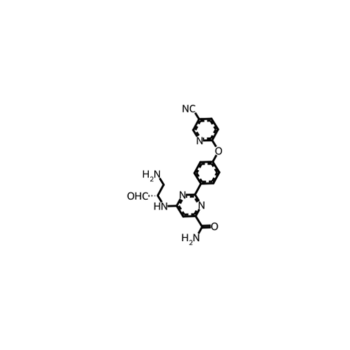 N#Cc1ccc(Oc2ccc(-c3nc(N[C@H](C=O)CN)cc(C(N)=O)n3)cc2)nc1